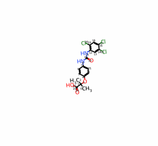 CC(C)(Oc1ccc(NC(=O)Nc2cc(Cl)c(Cl)cc2Cl)cc1)C(=O)O